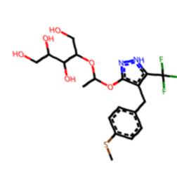 CSc1ccc(Cc2c(OC(C)OC(CO)C(O)C(O)CO)n[nH]c2C(F)(F)F)cc1